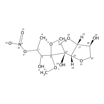 COC(OC)(C(O)C(C)O[N+](=O)[O-])[C@]1(O)CO[C@@H]2[C@@H](O)CO[C@@H]21